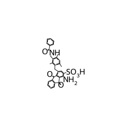 Cc1cc(C)c(Cc2cc(S(=O)(=O)O)c(N)c3c2C(=O)c2ccccc2C3=O)c(C)c1CNC(=O)c1ccccc1